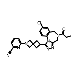 CCC(=O)N1Cc2cc(Cl)ccc2-n2c(nnc2C2CC3(C2)CN(c2cccc(C#N)n2)C3)C1